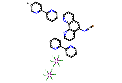 F[P-](F)(F)(F)(F)F.F[P-](F)(F)(F)(F)F.S=C=Nc1cc2cccnc2c2ncccc12.[Ru+2].c1ccc(-c2ccccn2)nc1.c1ccc(-c2ccccn2)nc1